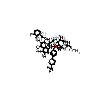 [2H]c1c(C)c([2H])c2c(c1[2H])c(=O)c([2H])c(SC([2H])([2H])c1cccc(F)c1F)n2C([2H])([2H])C(=O)N(C([2H])([2H])c1ccc(-c2ccc(C(F)(F)F)cc2)cc1)C1([2H])C([2H])([2H])C([2H])([2H])N(C([2H])([2H])COC)C([2H])([2H])C1([2H])[2H]